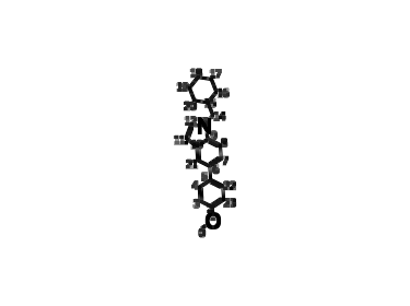 COc1ccc(-c2ccc3c([c]cn3CC3CCCCC3)c2)cc1